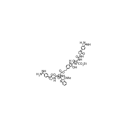 CCOC(=O)C(CNC(=O)NC1CCN(c2ccc(C(=N)N)cc2)C1=O)NC(=O)c1[nH]c2ccc(CCOC(=O)C(CNC(=O)NC3CCN(c4ccc(C(=N)N)cc4)C3=O)NC(=O)C3=Nc4ccccc4C3OC)cc2c1O